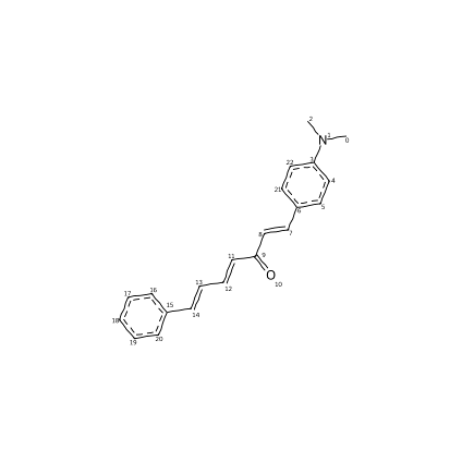 CN(C)c1ccc(C=CC(=O)C=CC=Cc2ccccc2)cc1